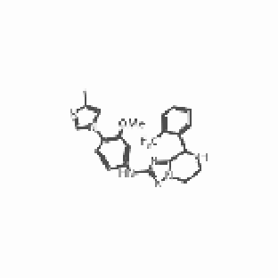 COc1cc(Nc2nc3n(n2)CCNC3c2ccccc2C(F)(F)F)ccc1-n1cnc(C)c1